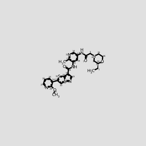 CC[C@H]1CN(CC(=O)Nc2cnc(C)c(NC(=O)c3cnn4cc(-c5cccnc5OC)sc34)c2)CCO1